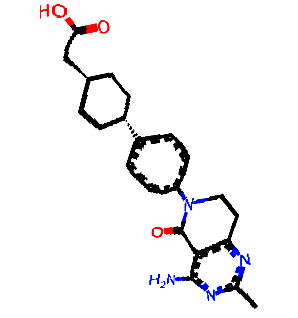 Cc1nc(N)c2c(n1)CCN(c1ccc([C@H]3CC[C@H](CC(=O)O)CC3)cc1)C2=O